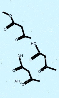 CC(=O)CC(=O)O.CC(=O)CC(=O)O.COC(=O)CC(C)=O.[AlH3]